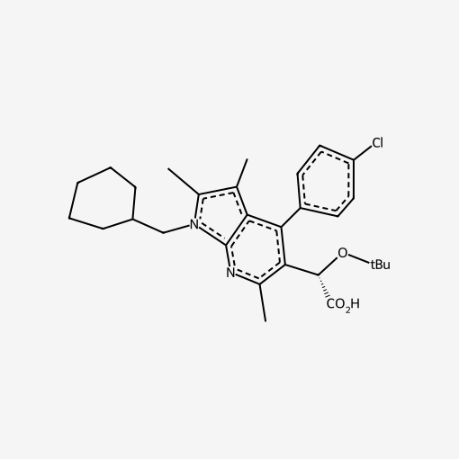 Cc1nc2c(c(C)c(C)n2CC2CCCCC2)c(-c2ccc(Cl)cc2)c1[C@H](OC(C)(C)C)C(=O)O